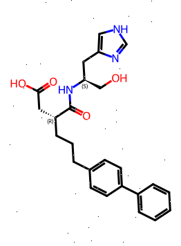 O=C(O)C[C@@H](CCCc1ccc(-c2ccccc2)cc1)C(=O)N[C@H](CO)Cc1c[nH]cn1